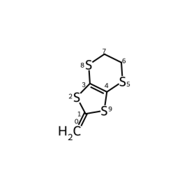 C=C1SC2=C(SCCS2)S1